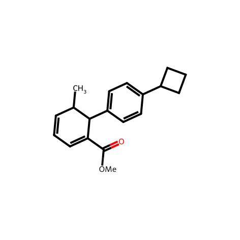 COC(=O)C1=CC=CC(C)C1c1ccc(C2CCC2)cc1